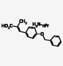 CC(=Cc1ccc(OCc2ccccc2)cc1)C(=O)O.CCCN